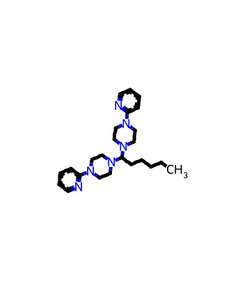 CCCCCC(N1CCN(c2ccccn2)CC1)N1CCN(c2ccccn2)CC1